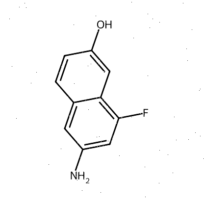 Nc1cc(F)c2cc(O)ccc2c1